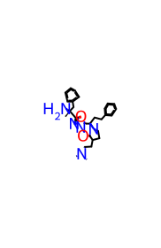 CN(C)CCC1CCN(C(CCc2ccccc2)c2nnc([C@](C)(N)Cc3ccccc3)o2)C1=O